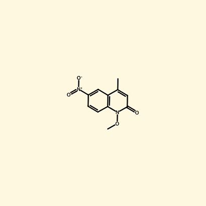 COn1c(=O)cc(C)c2cc([N+](=O)[O-])ccc21